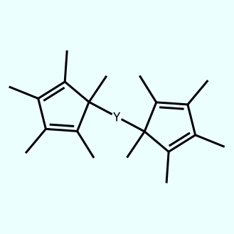 CC1=C(C)[C](C)([Y][C]2(C)C(C)=C(C)C(C)=C2C)C(C)=C1C